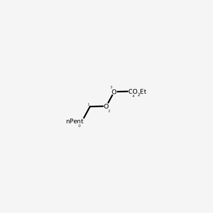 CCCCCCOOC(=O)OCC